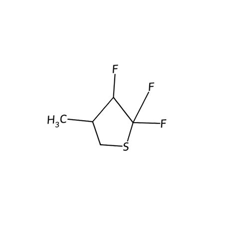 CC1CSC(F)(F)C1F